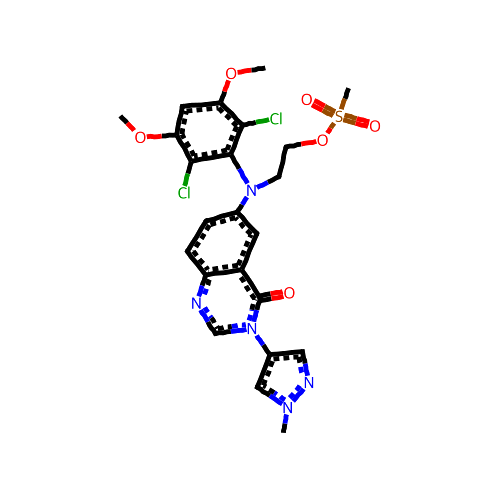 COc1cc(OC)c(Cl)c(N(CCOS(C)(=O)=O)c2ccc3ncn(-c4cnn(C)c4)c(=O)c3c2)c1Cl